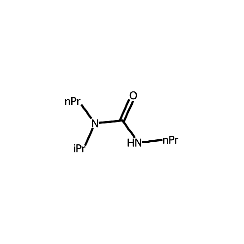 CCCNC(=O)N(CCC)C(C)C